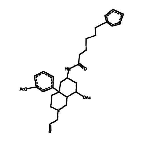 C=CCN1CCC2(c3cccc(OC(C)=O)c3)CC(NC(=O)CCCCCc3ccccc3)CC(OC(C)=O)C2C1